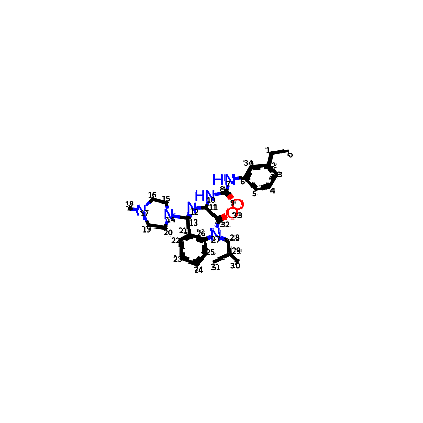 CCc1cccc(NC(=O)NC2N=C(N3CCN(C)CC3)c3ccccc3N(CC(C)C)C2=O)c1